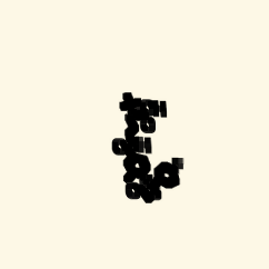 Cc1cc(C(=O)NCCCN(C(=O)O)C(C)(C)C)ccc1N1C(=O)CSC1c1ccc(F)cc1